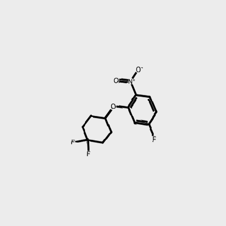 O=[N+]([O-])c1ccc(F)cc1OC1CCC(F)(F)CC1